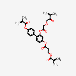 C=C(C)C(=O)COCC(=O)Oc1cc(OC(=O)CCOC(=O)C(=C)C)ccc1-c1ccc(OC(=O)C(=C)C)cc1